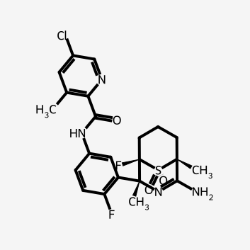 Cc1cc(Cl)cnc1C(=O)Nc1ccc(F)c([C@@]2(C)N=C(N)[C@@]3(C)CCC[C@]2(F)S3(=O)=O)c1